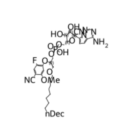 CCCCCCCCCCCCCCCCCCOC[C@H](COP(=O)(O)OC[C@H]1O[C@@](C#N)(c2ccc3c(N)ncnn23)[C@H](O)[C@@H]1O)Oc1cc(OC)c(C#N)cc1F